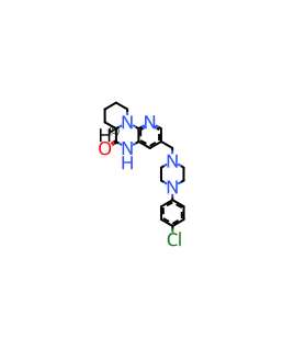 O=C1Nc2cc(CN3CCN(c4ccc(Cl)cc4)CC3)cnc2N2CCCC[C@@H]12